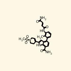 Cc1c(NC(=O)C=CC(N)=O)cccc1-c1ccc(C(N)=O)c2[nH]c(C3=CCN(S(C)(=O)=O)CC3)cc12